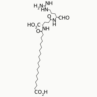 N=C(N)NCCC[C@@H](C=O)NC(=O)CC[C@H](NC(=O)CCCCCCCCCCCCCCCCCCC(=O)O)C(=O)O